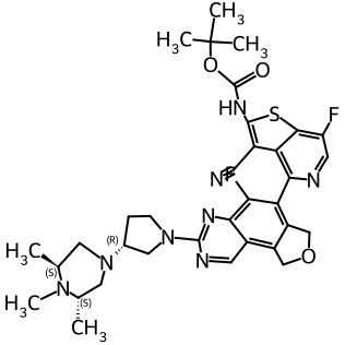 C[C@H]1CN([C@@H]2CCN(c3ncc4c5c(c(-c6ncc(F)c7sc(NC(=O)OC(C)(C)C)c(C#N)c67)c(F)c4n3)COC5)C2)C[C@H](C)N1C